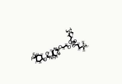 C[Si](C)(C)CCOP(=O)(OCCOc1ncc(NC(=O)OC2CCC(F)(F)CC2)cn1)OCC[Si](C)(C)C